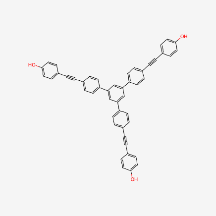 Oc1ccc(C#Cc2ccc(-c3cc(-c4ccc(C#Cc5ccc(O)cc5)cc4)cc(-c4ccc(C#Cc5ccc(O)cc5)cc4)c3)cc2)cc1